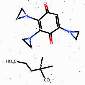 CC(C)(CCC(=O)O)C(=O)O.O=C1C=C(N2CC2)C(=O)C(N2CC2)=C1N1CC1